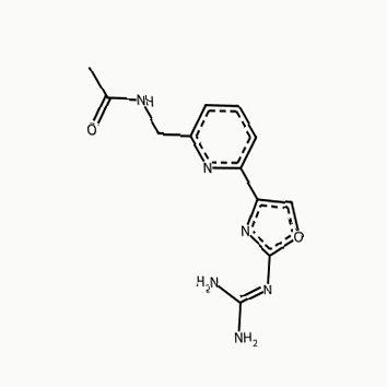 CC(=O)NCc1cccc(-c2coc(N=C(N)N)n2)n1